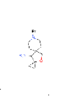 CC(C)N1CCC2(CC1)COC1(CC1)C2N